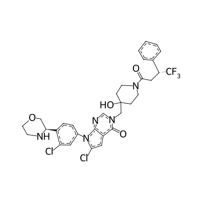 O=C(C[C@H](c1ccccc1)C(F)(F)F)N1CCC(O)(Cn2cnc3c(cc(Cl)n3-c3ccc([C@@H]4COCCN4)c(Cl)c3)c2=O)CC1